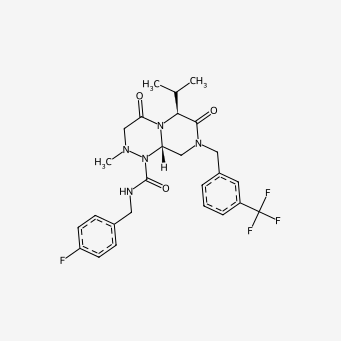 CC(C)[C@H]1C(=O)N(Cc2cccc(C(F)(F)F)c2)C[C@H]2N1C(=O)CN(C)N2C(=O)NCc1ccc(F)cc1